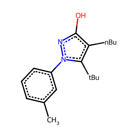 CCCCc1c(O)nn(-c2cccc(C)c2)c1C(C)(C)C